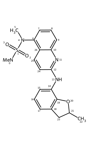 CNS(=O)(=O)N(C)c1cccc2nc(Nc3cccc4c3OC(C)C4)ccc12